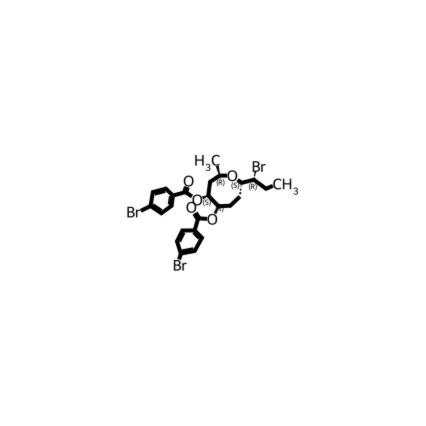 CC[C@@H](Br)[C@@H]1CC[C@@H](OC(=O)c2ccc(Br)cc2)[C@@H](OC(=O)c2ccc(Br)cc2)C[C@@H](C)O1